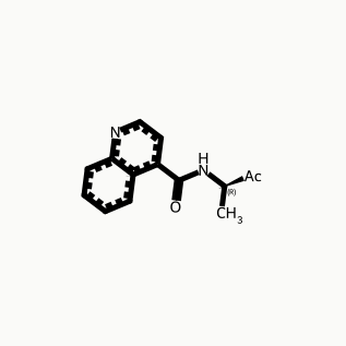 CC(=O)[C@@H](C)NC(=O)c1ccnc2ccccc12